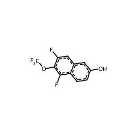 Oc1ccc2c(F)c(OC(F)(F)F)c(F)cc2c1